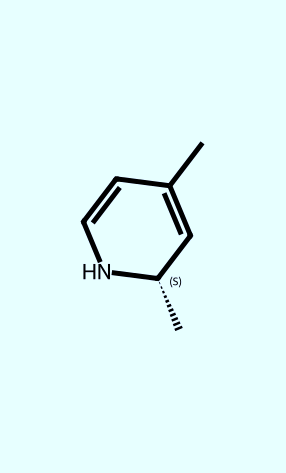 CC1=C[C@H](C)NC=C1